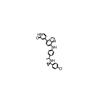 CC(NC1(c2ccc(Cl)cc2)CC1)c1ccc(NC2=CC=C(c3cc[nH]c(=O)c3)N3CCN=C23)cc1